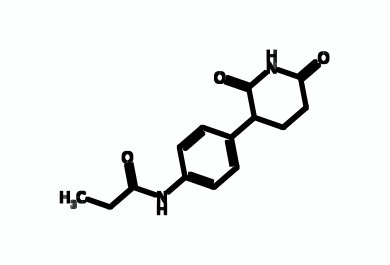 CCC(=O)Nc1ccc(C2CCC(=O)NC2=O)cc1